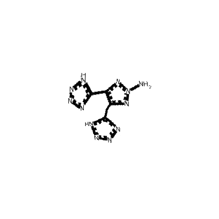 Nn1nc(-c2nnn[nH]2)c(-c2nnn[nH]2)n1